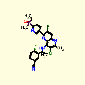 CCP(C)(=O)c1ccc(-c2nc3c(NC(C)c4cc(C#N)ccc4F)c(Cl)c(C)nc3cc2F)cn1